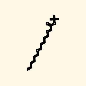 CC(C)(C)OC(=O)COCCCCCOCCCCCI